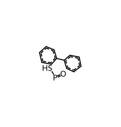 O=PS.c1ccc(-c2ccccc2)cc1